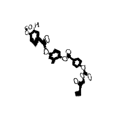 C=CC(=O)COC(=O)Oc1ccc(C(=O)Oc2ccc(OC(=O)c3ccc(OC(=O)O)cc3)cc2C)cc1